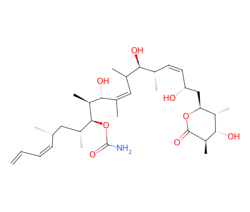 C=C/C=C\[C@H](C)C[C@@H](C)[C@H](OC(N)=O)[C@@H](C)[C@H](O)/C(C)=C\C(C)[C@@H](O)[C@@H](C)/C=C\[C@@H](O)C[C@@H]1OC(=O)[C@H](C)[C@@H](O)[C@H]1C